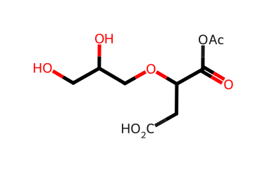 CC(=O)OC(=O)C(CC(=O)O)OCC(O)CO